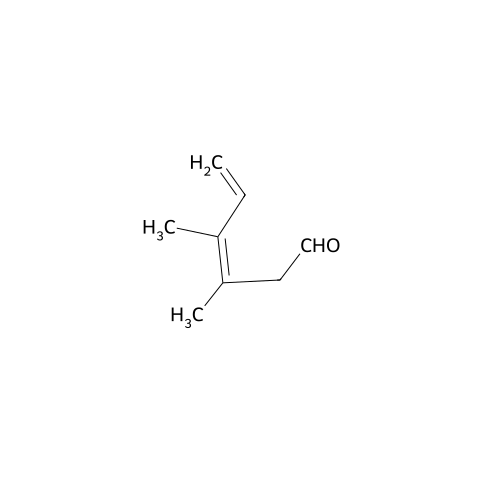 C=CC(C)=C(C)CC=O